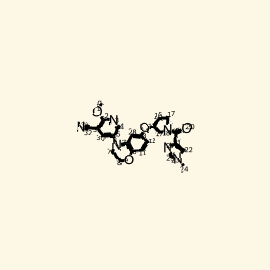 COc1ncc(N2CCOc3ccc(OC4CCN(C(=O)c5cn(C)cn5)C4)cc32)cc1C#N